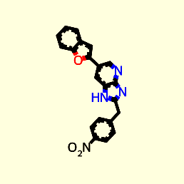 O=[N+]([O-])c1ccc(Cc2nc3ncc(-c4cc5ccccc5o4)cc3[nH]2)cc1